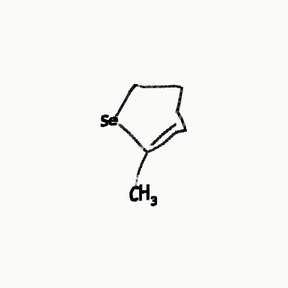 CC1=CCC[Se]1